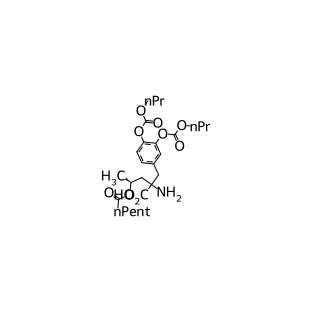 CCCCCC(=O)O[C@@H](C)CC(N)(Cc1ccc(OC(=O)OCCC)c(OC(=O)OCCC)c1)C(=O)O